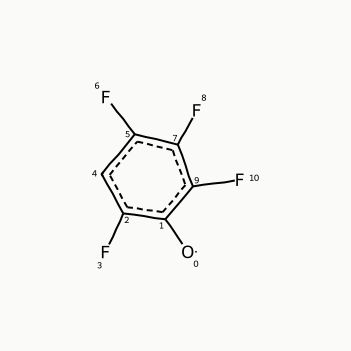 [O]c1c(F)cc(F)c(F)c1F